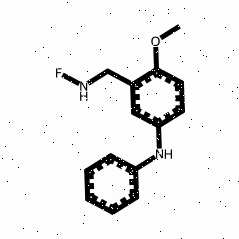 COc1ccc(Nc2ccccc2)cc1CNF